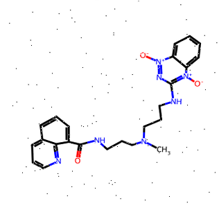 CN(CCCNC(=O)c1cccc2cccnc12)CCCNc1n[n+]([O-])c2ccccc2[n+]1[O-]